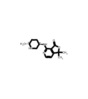 C[C@@H]1CC[C@@H](Nc2nccc3c2C(=O)OC3(C)C)CN1